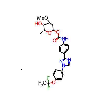 CO[C@H]1CC(OC(=O)Nc2ccc(-c3ncn(-c4ccc(OC(F)(F)C(F)(F)F)cc4)n3)cc2)O[C@@H](C)[C@@H]1O